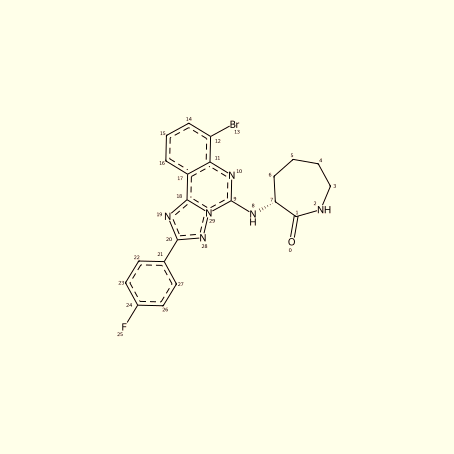 O=C1NCCCC[C@H]1Nc1nc2c(Br)cccc2c2nc(-c3ccc(F)cc3)nn12